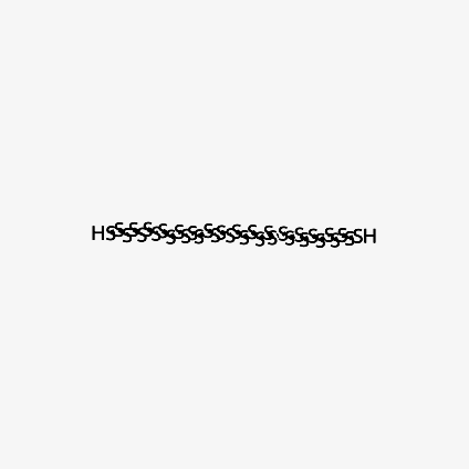 SSSSSSSSSSSSSSSSSSSSSSSSSSSSSSSSSS